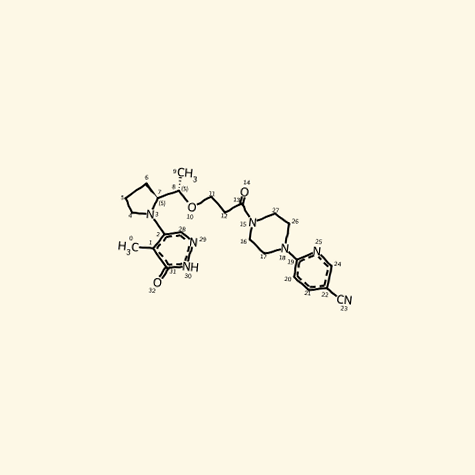 Cc1c(N2CCC[C@H]2[C@H](C)OCCC(=O)N2CCN(c3ccc(C#N)cn3)CC2)cn[nH]c1=O